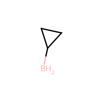 BC1CC1